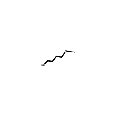 CC(C)(C)CCCCON=O